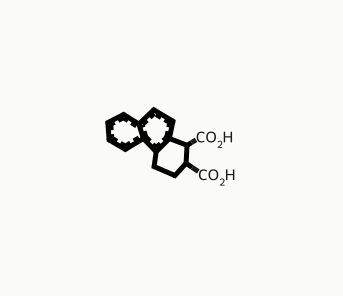 O=C(O)C1CCc2c(ccc3ccccc23)C1C(=O)O